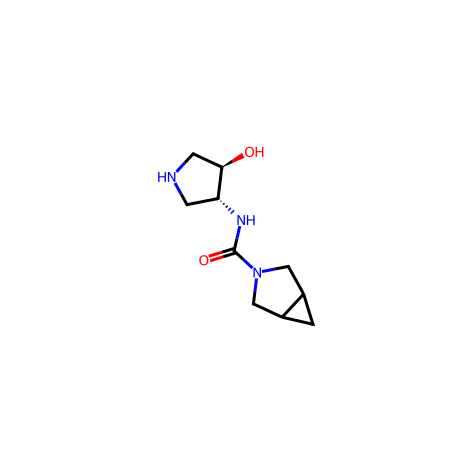 O=C(N[C@@H]1CNC[C@H]1O)N1CC2CC2C1